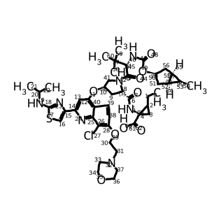 CCC1C[C@]1(NC(=O)[C@@H]1C[C@@H](Oc2cc(-c3csc(NC(C)C)n3)nc3c(Cl)c(OCCN4CCOCC4)ccc23)CN1C(=O)[C@@H](NC(=O)O[C@@H]1C[C@@H]2[C@H](C)[C@@H]2C1)C(C)(C)C)C(=O)O